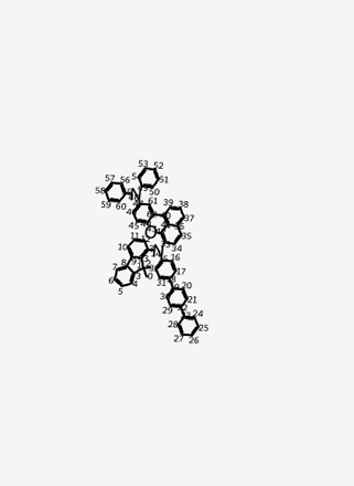 CC1(C)c2ccccc2-c2cccc(N(c3ccc(-c4ccc(-c5ccccc5)cc4)cc3)c3ccc4cccc5c4c3Oc3ccc(N(c4ccccc4)c4ccccc4)cc3-5)c21